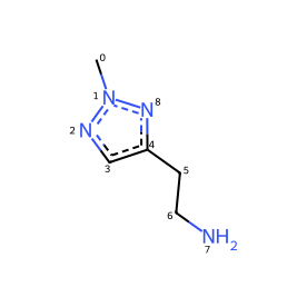 Cn1ncc(CCN)n1